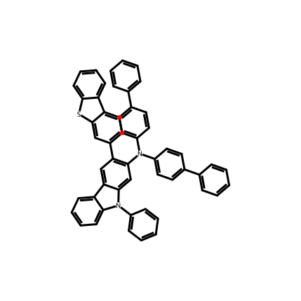 c1ccc(-c2ccc(N(c3ccc(-c4ccccc4)cc3)c3cc4c(cc3-c3ccc5c(c3)sc3ccccc35)c3ccccc3n4-c3ccccc3)cc2)cc1